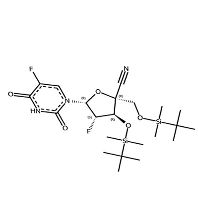 CC(C)(C)[Si](C)(C)OC[C@@]1(C#N)O[C@@H](n2cc(F)c(=O)[nH]c2=O)[C@@H](F)[C@@H]1O[Si](C)(C)C(C)(C)C